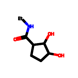 CCNC(=O)C1CCC(O)C1O